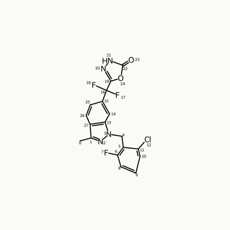 Cc1nn(Cc2c(F)cccc2Cl)c2cc(C(F)(F)c3n[nH]c(=O)o3)ccc12